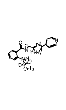 CS(=O)(=O)Nc1ccccc1C(=O)NCc1nc(-c2ccncc2)n[nH]1